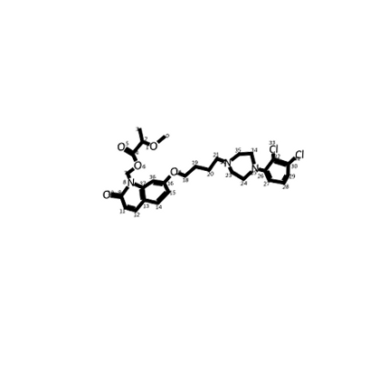 COC(C)C(=O)OCn1c(=O)ccc2ccc(OCCCCN3CCN(c4cccc(Cl)c4Cl)CC3)cc21